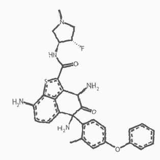 Cc1cc(Oc2ccccc2)ccc1C1(N)C(=O)C(N)c2c(C(=O)N[C@H]3CN(C)C[C@@H]3F)sc3c(N)ccc1c23